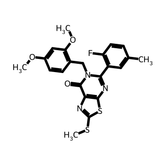 COc1ccc(Cn2c(-c3cc(C)ccc3F)nc3sc(SC)nc3c2=O)c(OC)c1